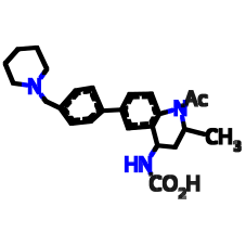 CC(=O)N1c2ccc(-c3ccc(CN4CCCCC4)cc3)cc2C(NC(=O)O)CC1C